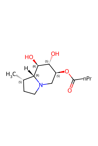 CCCC(=O)O[C@H]1CN2CC[C@H](C)[C@@H]2[C@@H](O)[C@@H]1O